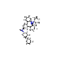 CN(c1ccc(-c2ccccc2)cc1)c1ccc2c(c1)-c1ccccc1N(c1ccccc1)c1ccccc1-2